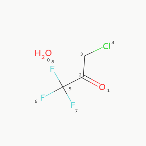 O.O=C(CCl)C(F)(F)F